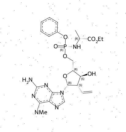 C=C[C@H]1[C@H](O)[C@@H](CO[P@](=O)(N[C@H](C)C(=O)OCC)Oc2ccccc2)O[C@H]1n1cnc2c(NC)nc(N)nc21